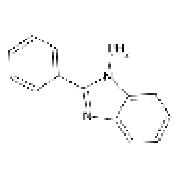 Pn1c(-c2ccccc2)nc2ccccc21